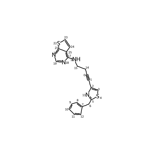 C(#Cc1csc(Cc2ccccc2)n1)CCNc1ncnc2sccc12